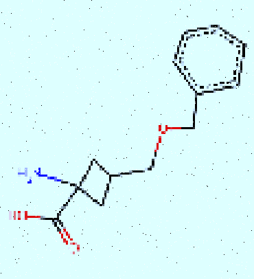 NC1(C(=O)O)CC(COCc2ccccc2)C1